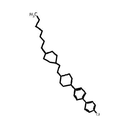 CCCCCCCC1CCC(CCC2CCC(c3ccc(-c4ccc(Cl)cc4)cc3)CC2)CC1